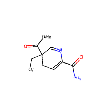 CNC(=O)C1(CC#N)C=NC(C(N)=O)=CC1